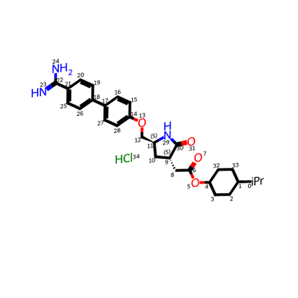 CC(C)C1CCC(OC(=O)C[C@@H]2C[C@@H](COc3ccc(-c4ccc(C(=N)N)cc4)cc3)NC2=O)CC1.Cl